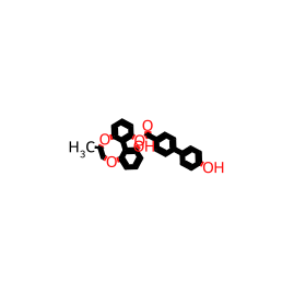 C[C@@H]1COc2cccc(O)c2-c2c(OC(=O)c3ccc(-c4ccc(O)cc4)cc3)cccc2O1